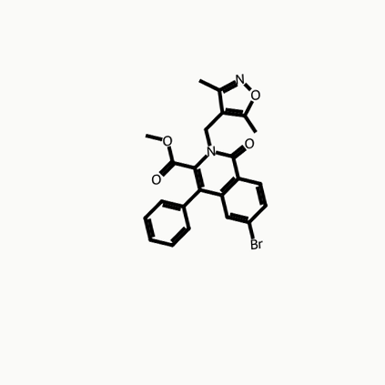 COC(=O)c1c(-c2ccccc2)c2cc(Br)ccc2c(=O)n1Cc1c(C)noc1C